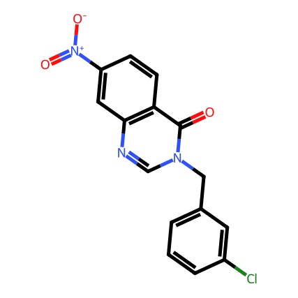 O=c1c2ccc([N+](=O)[O-])cc2ncn1Cc1cccc(Cl)c1